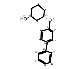 O[C@@H]1CCC[C@H](Oc2ccc(-c3ccccc3)cc2)C1